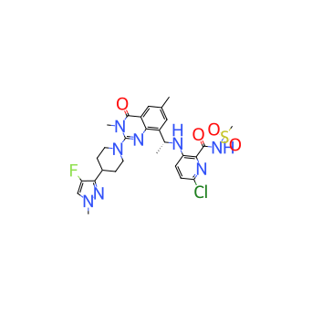 Cc1cc([C@@H](C)Nc2ccc(Cl)nc2C(=O)NS(C)(=O)=O)c2nc(N3CCC(c4nn(C)cc4F)CC3)n(C)c(=O)c2c1